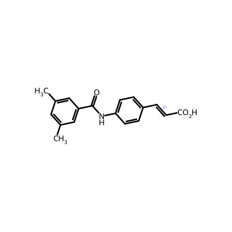 Cc1cc(C)cc(C(=O)Nc2ccc(/C=C/C(=O)O)cc2)c1